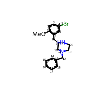 COc1ccc(Br)cc1C[C@@H]1CN(Cc2ccccc2)CCN1